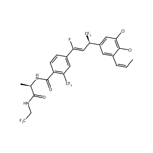 C/C=C\c1cc([C@@H](/C=C(\F)c2ccc(C(=O)N[C@H](C)C(=O)NCC(F)(F)F)c(C(F)(F)F)c2)C(F)(F)F)cc(Cl)c1Cl